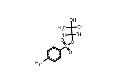 [2H]C([2H])(OS(=O)(=O)c1ccc(C)cc1)C(C)(C)O